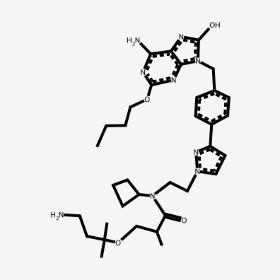 CCCCOc1nc(N)c2nc(O)n(Cc3ccc(-c4ccn(CCN(C(=O)C(C)COC(C)(C)CCN)C5CCC5)n4)cc3)c2n1